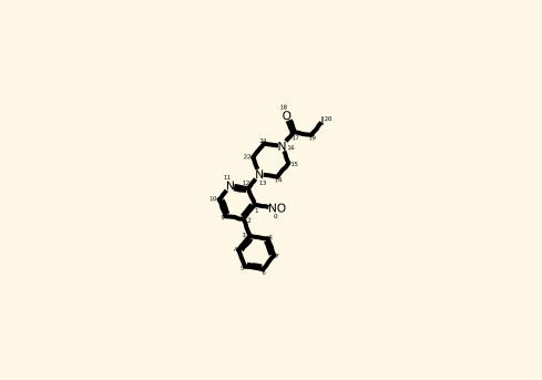 O=Nc1c(-c2ccccc2)ccnc1N1CCN(C(=O)CI)CC1